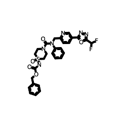 O=C(N=S1(=O)CCN(C(=O)N(Cc2ccc(-c3nnc(C(F)F)o3)cn2)c2ccccc2)CC1)OCc1ccccc1